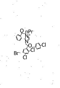 CCCC(C(=O)c1ccccc1)[n+]1ccn(CC(OCc2ccc(Cl)cc2)c2ccc(Cl)cc2Cl)c1.[Br-]